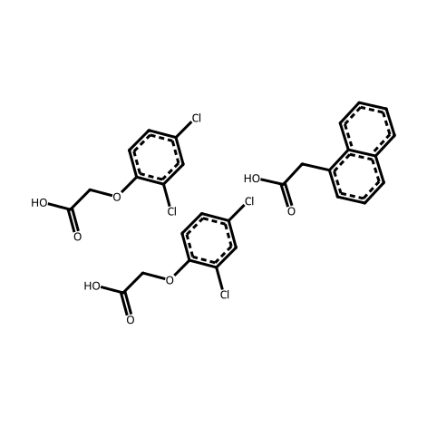 O=C(O)COc1ccc(Cl)cc1Cl.O=C(O)COc1ccc(Cl)cc1Cl.O=C(O)Cc1cccc2ccccc12